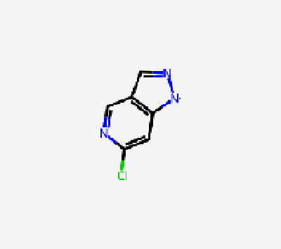 Clc1cc2c(cn1)C=N[N]2